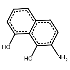 Nc1ccc2cccc(O)c2c1O